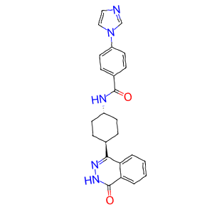 O=C(N[C@H]1CC[C@H](c2n[nH]c(=O)c3ccccc32)CC1)c1ccc(-n2ccnc2)cc1